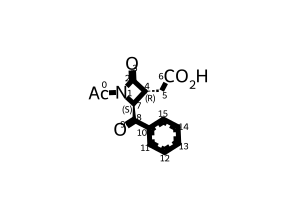 CC(=O)N1C(=O)[C@H](CC(=O)O)[C@H]1C(=O)c1ccccc1